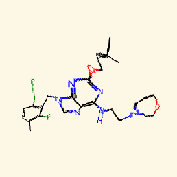 CC(C)=CCOc1nc(NCCN2CCOCC2)c2ncn(Cc3c(F)ccc(C)c3F)c2n1